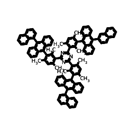 Cc1cc(C)c(-c2c3ccccc3c(-c3ccc4ccccc4c3)c3ccccc23)c(C)c1-c1nc(-c2c(C)cc(C)c(-c3c4ccccc4c(-c4cccc5ccccc45)c4ccccc34)c2C)nc(-c2c(C)cc(C)c(-c3c4ccccc4c(-c4cccc5ccccc45)c4ccccc34)c2C)n1